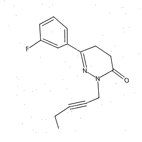 CCC#CCN1N=C(c2cccc(F)c2)CCC1=O